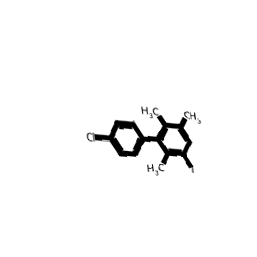 Cc1cc(I)c(C)c(-c2ccc(Cl)cc2)c1C